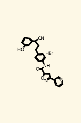 Br.N#CC(CCc1ccc(NC(=O)C2CC(c3cccnc3)=NO2)cc1)c1cccc(O)c1